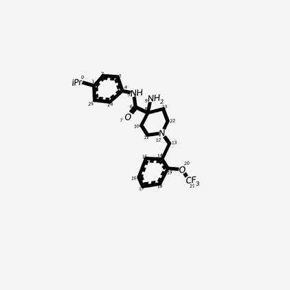 CC(C)c1ccc(NC(=O)C2(N)CCN(Cc3ccccc3OC(F)(F)F)CC2)cc1